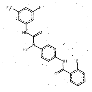 O=C(Nc1ccc(N(S)C(=O)Nc2cc(F)cc(C(F)(F)F)c2)cc1)c1ccccc1F